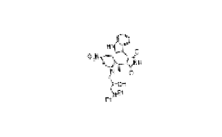 CCN(CC)CC(O)Cn1cc(C2=C(c3c[nH]c4ccccc34)C(=O)NC2=O)c2ccc([N+](=O)[O-])cc21